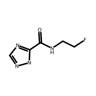 O=C(NCCF)C1=NC=N[N]1